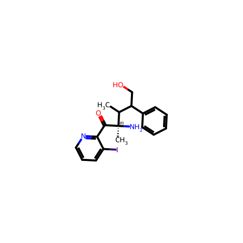 CC(C(CO)c1ccccc1)[C@@](C)(N)C(=O)c1ncccc1I